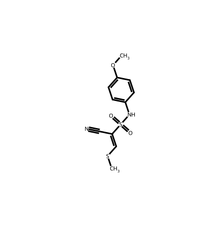 COc1ccc(NS(=O)(=O)C(C#N)=CSC)cc1